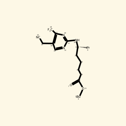 CC(C)[C@H](CCCCC(=O)OC(C)(C)C)Nc1ncc(CC#N)c(C(F)(F)F)n1